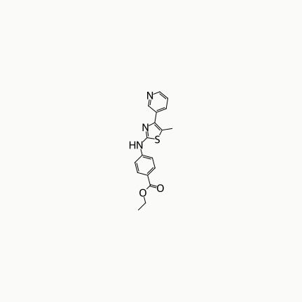 CCOC(=O)c1ccc(Nc2nc(-c3cccnc3)c(C)s2)cc1